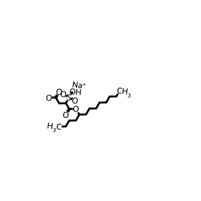 CCCCCCCCC(CCCC)OC(=O)C(CC(=O)[O-])S(=O)(=O)O.[Na+]